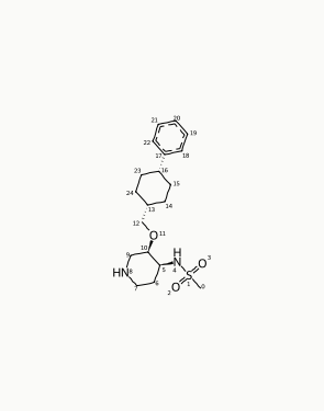 CS(=O)(=O)N[C@H]1CCNC[C@H]1OC[C@H]1CC[C@@H](c2ccccc2)CC1